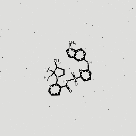 CC1CCN(c2ncccc2C(=O)NS(=O)(=O)c2cccc(Nc3ccc4c(ccn4C)c3)n2)C1(C)C